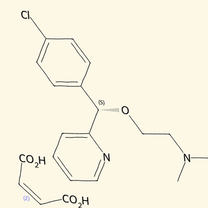 CN(C)CCO[C@@H](c1ccc(Cl)cc1)c1ccccn1.O=C(O)/C=C\C(=O)O